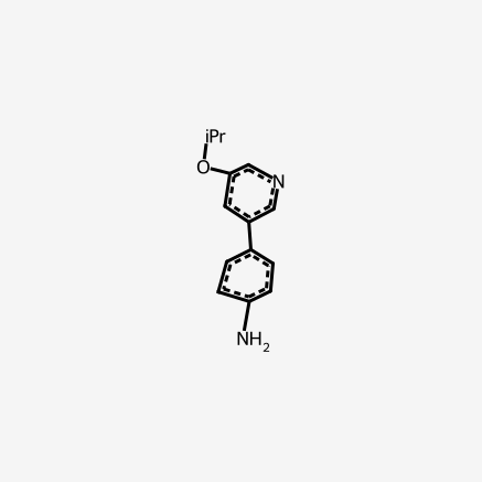 CC(C)Oc1cncc(-c2ccc(N)cc2)c1